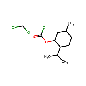 CC1CCC(C(C)C)C(OC(=O)Cl)C1.ClCCl